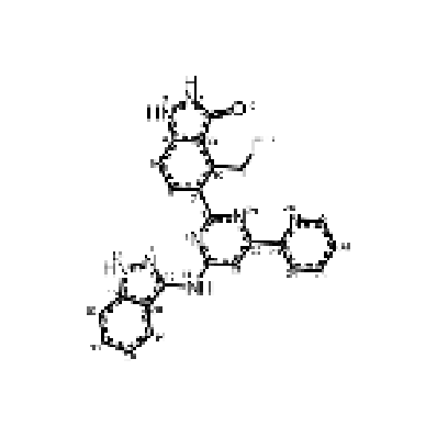 O=c1[nH][nH]c2ccc(-c3nc(Nc4n[nH]c5ccccc45)cc(-c4ccccn4)n3)c(CF)c12